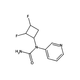 NC(=O)N(c1cccnc1)C1CC(F)C1F